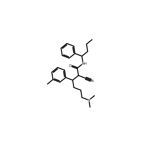 CCCC(NC(=O)C(C#N)C(CCCN(C)C)c1cccc(C)c1)c1ccccc1